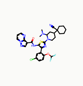 CN(C)C1CC(C2(C#N)CCCCC2)CCN1c1nc(-c2cc(Cl)ccc2OC(F)F)c(NC(=O)c2cnn3cccnc23)s1